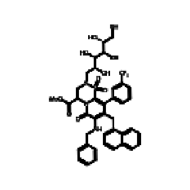 COC(=O)C1CN(C[C@H](O)[C@@H](O)[C@H](O)[C@H](O)CO)S(=O)(=O)c2c(-c3cccc(C(F)(F)F)c3)c(Cc3cccc4ccccc34)c(NCc3ccccc3)c(=O)n21